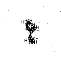 CC(C)C[C@](CC(=O)OCc1ccc(O[C@@H]2O[C@H](CO)[C@@H](O)[C@H](O)[C@H]2O)cc1)(O[C@@H]1O[C@H](CO)[C@@H](O)[C@H](O)[C@H]1O)C(=O)OCc1ccc(O[C@@H]2O[C@H](CO)[C@@H](O)[C@H](O)[C@H]2O)cc1